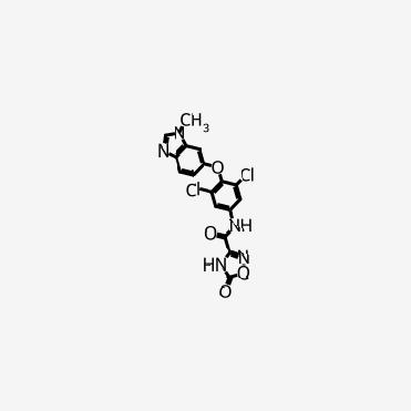 Cn1cnc2ccc(Oc3c(Cl)cc(NC(=O)c4noc(=O)[nH]4)cc3Cl)cc21